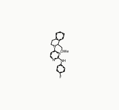 COCC1c2ccccc2CCN1c1ccnc(Nc2ccc(F)cc2)n1